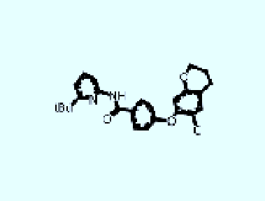 CC(C)(C)c1cccc(NC(=O)c2ccc(Oc3cc4c(cc3Cl)CCCO4)cc2)n1